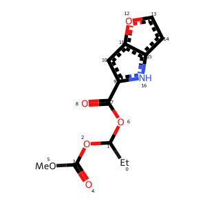 CCC(OC(=O)OC)OC(=O)c1cc2occc2[nH]1